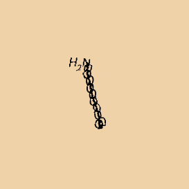 CC(C)(C)OC(=O)CCOCCOCCOCCOCCOCCOCCOCCOCCN